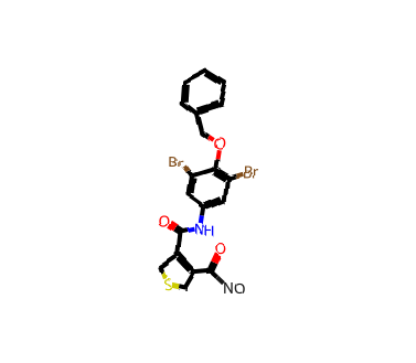 O=NC(=O)C1=C(C(=O)Nc2cc(Br)c(OCc3ccccc3)c(Br)c2)CSC1